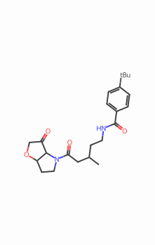 CC(CCNC(=O)c1ccc(C(C)(C)C)cc1)CC(=O)N1CCC2OCC(=O)C21